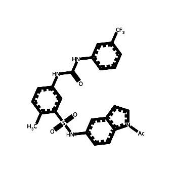 CC(=O)n1ccc2cc(NS(=O)(=O)c3cc(NC(=O)Nc4cccc(C(F)(F)F)c4)ccc3C)ccc21